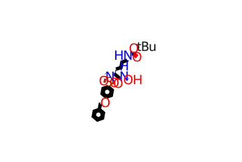 CN([C@H](CCCCNC(=O)OC(C)(C)C)C(=O)NO)S(=O)(=O)c1ccc(OCc2ccccc2)cc1